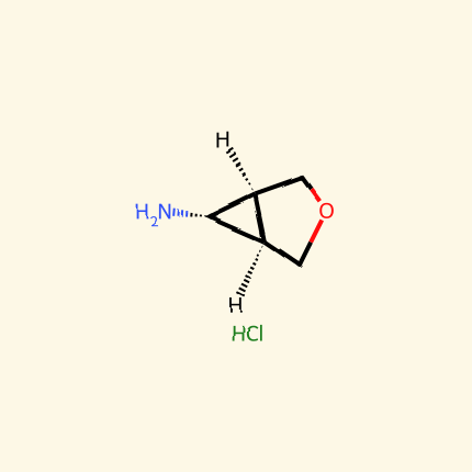 Cl.N[C@@H]1[C@H]2COC[C@@H]12